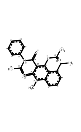 CCc1cccc2c1c(OC(C)=O)c(C(=O)N(C(C)=O)c1ccccc1)c(=O)n2C